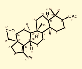 CC(=O)O[C@H]1CC[C@]2(C)[C@H]3CC[C@@H]4C5=C(C(C)C)CC[C@]5(CC=O)CC[C@@]4(C)[C@]3(C)CC[C@H]2C1(C)C